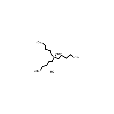 CCCCCCCCCCCCCC[N+](CCCCCCCCC)(CCCCCCCCCCCCCC)CCCCCCCCCCCCCC.[OH-]